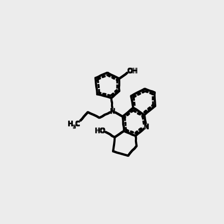 CCCN(c1cccc(O)c1)c1c2c(nc3ccccc13)CCCC2O